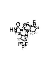 O=C1NC[C@H](c2csc(C(F)(F)F)c2)[C@H]1C(=O)Nc1cccc(F)c1F